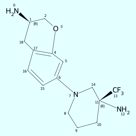 N[C@H]1COc2cc(N3CCC[C@](N)(C(F)(F)F)C3)ccc2C1